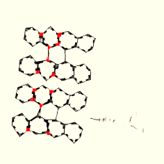 CNC.Cl.[Cl-].[ClH+][Ru-]([ClH+])[ClH+].[Ru].c1ccc(P(c2ccccc2)c2ccc3ccccc3c2-c2c(P(c3ccccc3)c3ccccc3)ccc3ccccc23)cc1.c1ccc(P(c2ccccc2)c2ccc3ccccc3c2-c2c(P(c3ccccc3)c3ccccc3)ccc3ccccc23)cc1